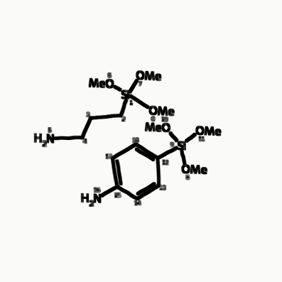 CO[Si](CCCN)(OC)OC.CO[Si](OC)(OC)c1ccc(N)cc1